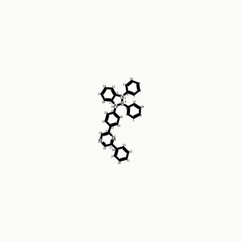 c1ccc(B2N(c3ccccc3)c3ccccc3N2c2ccc(-c3cncc(-c4ccccc4)n3)cc2)cc1